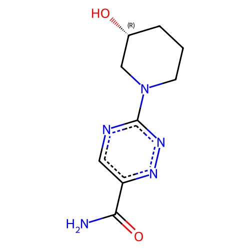 NC(=O)c1cnc(N2CCC[C@@H](O)C2)nn1